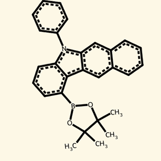 CC1(C)OB(c2cccc3c2c2cc4ccccc4cc2n3-c2ccccc2)OC1(C)C